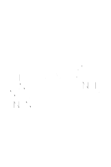 NC(=O)c1ccc(-c2nnn[nH]2)cc1F